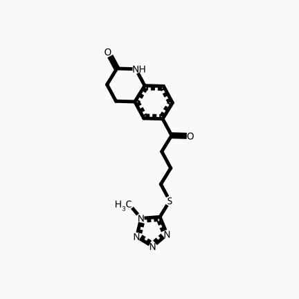 Cn1nnnc1SCCCC(=O)c1ccc2c(c1)CCC(=O)N2